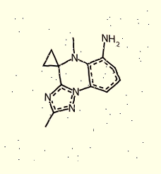 Cc1nc2n(n1)-c1cccc(N)c1N(C)C21CC1